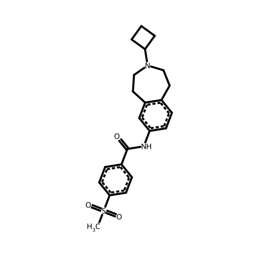 CS(=O)(=O)c1ccc(C(=O)Nc2ccc3c(c2)CCN(C2CCC2)CC3)cc1